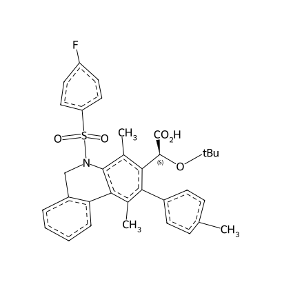 Cc1ccc(-c2c(C)c3c(c(C)c2[C@H](OC(C)(C)C)C(=O)O)N(S(=O)(=O)c2ccc(F)cc2)Cc2ccccc2-3)cc1